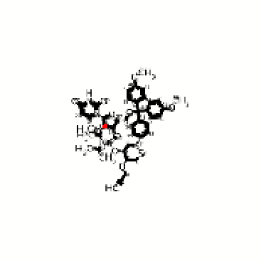 C#CCO[C@@H]1CSSC[C@H]1OP(O[C@H]1[C@@H](OC)[C@H](n2ccc(=O)[nH]c2=O)O[C@@H]1COC(c1ccccc1)(c1ccc(OC)cc1)c1ccc(OC)cc1)N(C(C)C)C(C)C